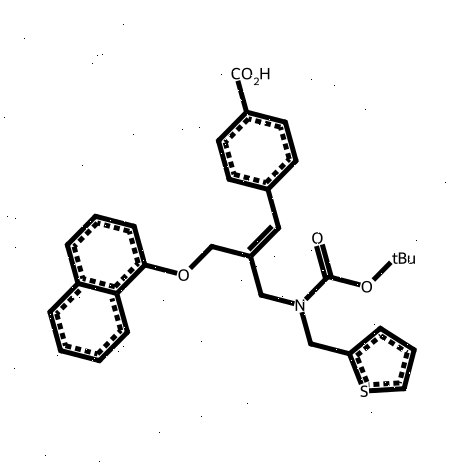 CC(C)(C)OC(=O)N(C/C(=C/c1ccc(C(=O)O)cc1)COc1cccc2ccccc12)Cc1cccs1